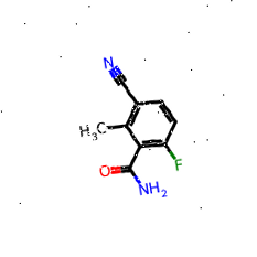 Cc1c(C#N)ccc(F)c1C(N)=O